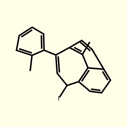 Cc1ccccc1C1=CC(I)c2cccc3ccc1c(C)c23